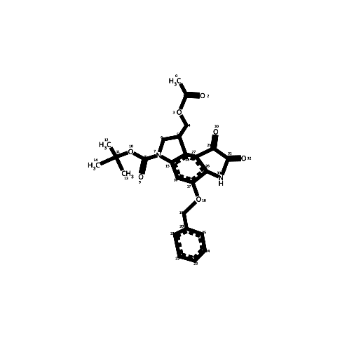 CC(=O)OCC1CN(C(=O)OC(C)(C)C)c2cc(OCc3ccccc3)c3c(c21)C(=O)C(=O)N3